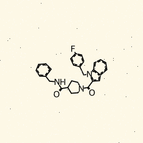 O=C(NCc1ccccc1)C1CCN(C(=O)c2cc3ccccc3n2Cc2ccc(F)cc2)CC1